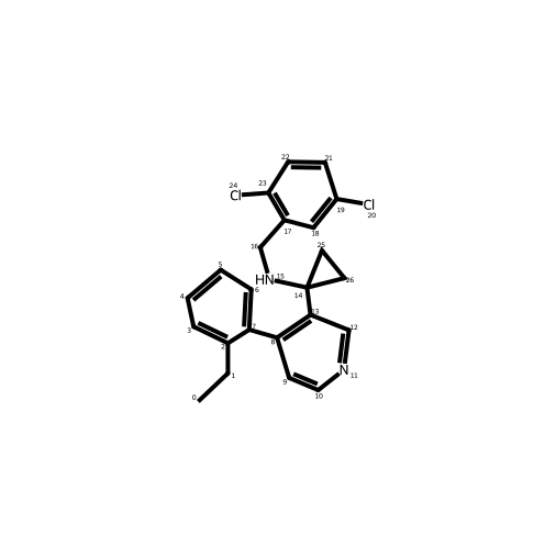 CCc1ccccc1-c1ccncc1C1(NCc2cc(Cl)ccc2Cl)CC1